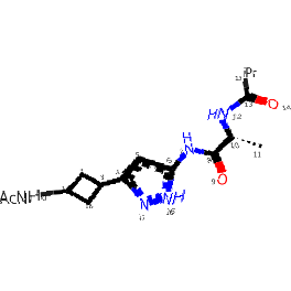 CC(=O)NC1CC(c2cc(NC(=O)[C@@H](C)NC(=O)C(C)C)[nH]n2)C1